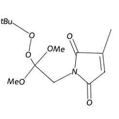 COC(CN1C(=O)C=C(C)C1=O)(OC)OOC(C)(C)C